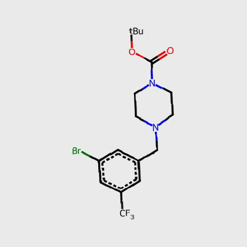 CC(C)(C)OC(=O)N1CCN(Cc2cc(Br)cc(C(F)(F)F)c2)CC1